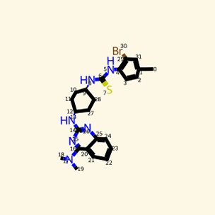 Cc1ccc(NC(=S)N[C@H]2CC[C@@H](Nc3nc(N(C)C)c4ccccc4n3)CC2)c(Br)c1